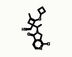 CC1=C(OC2CCC2)C(C=N)(C(C)N2Cc3c(ccnc3Cl)C2=O)C1